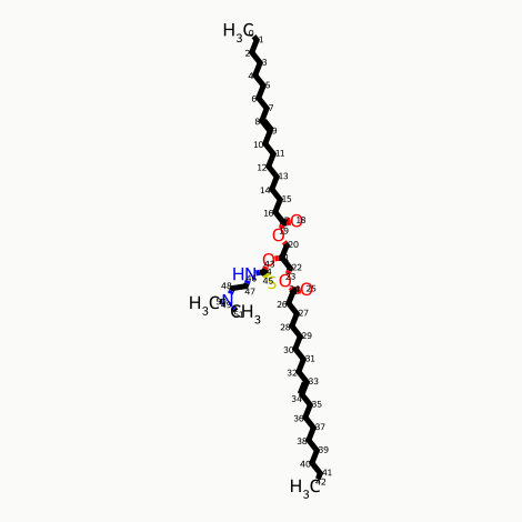 CCCCCCCCC=CCCCCCCCC(=O)OCC(COC(=O)CCCCCCCC=CCCCCCCCC)OC(=S)NCCN(C)C